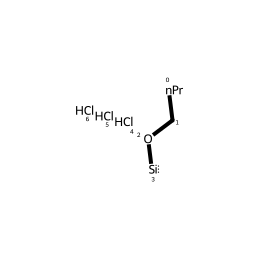 CCCCO[Si].Cl.Cl.Cl